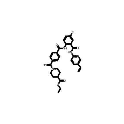 C=Cc1ccc(NC(=O)c2cc(Cl)ccc2NC(=O)c2ccc(C(=N)N3CCC(C(=O)OCC)CC3)cc2)nc1